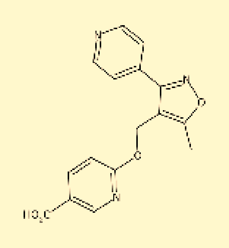 Cc1onc(-c2ccncc2)c1COc1ccc(C(=O)O)cn1